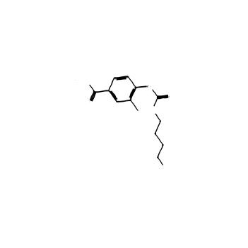 COC(=O)c1ccc(NC(=O)OCCCCCl)c(C)c1